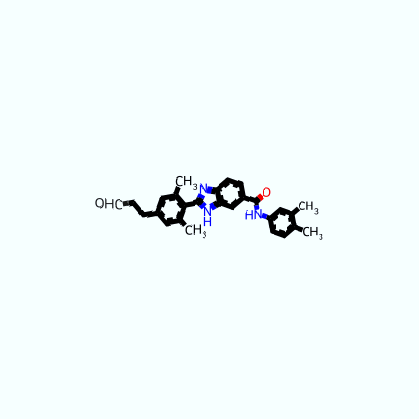 Cc1ccc(NC(=O)c2ccc3nc(-c4c(C)cc(CCC=O)cc4C)[nH]c3c2)cc1C